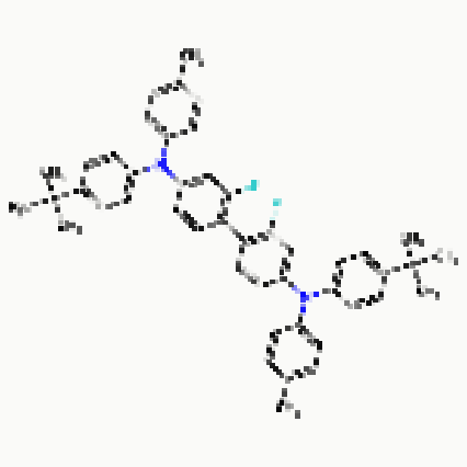 Cc1ccc(N(c2ccc(C(C)(C)C)cc2)c2ccc(-c3ccc(N(c4ccc(C)cc4)c4ccc(C(C)(C)C)cc4)cc3F)c(F)c2)cc1